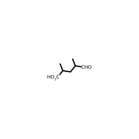 CC(C=O)CC(C)C(=O)O